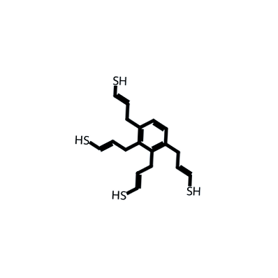 SC=CCc1ccc(CC=CS)c(CC=CS)c1CC=CS